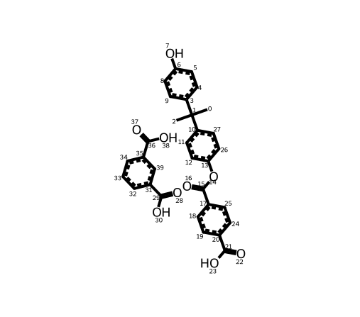 CC(C)(c1ccc(O)cc1)c1ccc(OC(=O)c2ccc(C(=O)O)cc2)cc1.O=C(O)c1cccc(C(=O)O)c1